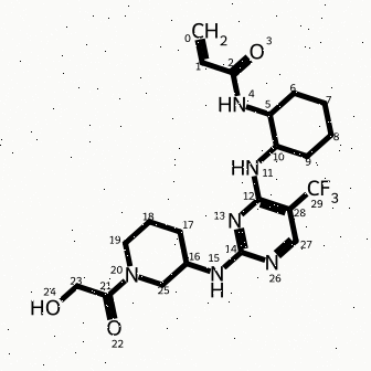 C=CC(=O)NC1CCCCC1Nc1nc(NC2CCCN(C(=O)CO)C2)ncc1C(F)(F)F